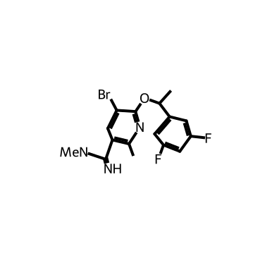 CNC(=N)c1cc(Br)c(OC(C)c2cc(F)cc(F)c2)nc1C